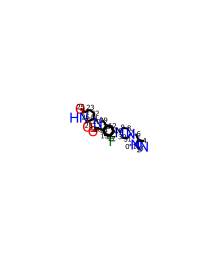 Cn1cncc1CN1CCN(c2cc3c(cc2F)C(=O)N(C2CCC(=O)NC2=O)C3)CC1